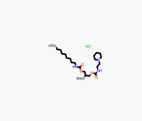 CCCCCCCCCCCCCCCCCCNC(=O)OCC(COC(=O)NCCN1CCCCC1)OC.Cl